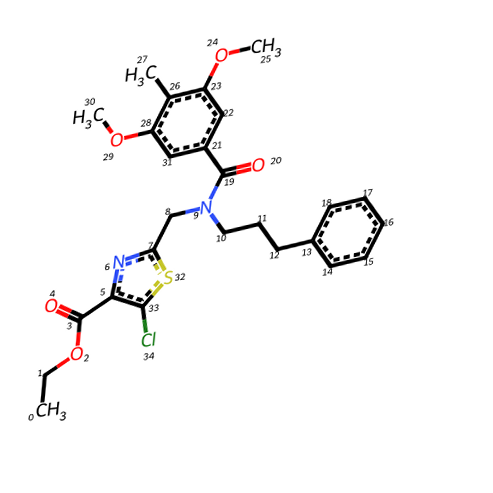 CCOC(=O)c1nc(CN(CCCc2ccccc2)C(=O)c2cc(OC)c(C)c(OC)c2)sc1Cl